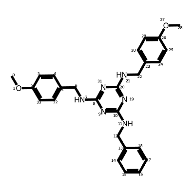 COc1ccc(CNc2nc(NCc3ccccc3)nc(NCc3ccc(OC)cc3)n2)cc1